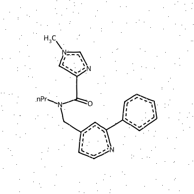 CCCN(Cc1ccnc(-c2ccccc2)c1)C(=O)c1cn(C)cn1